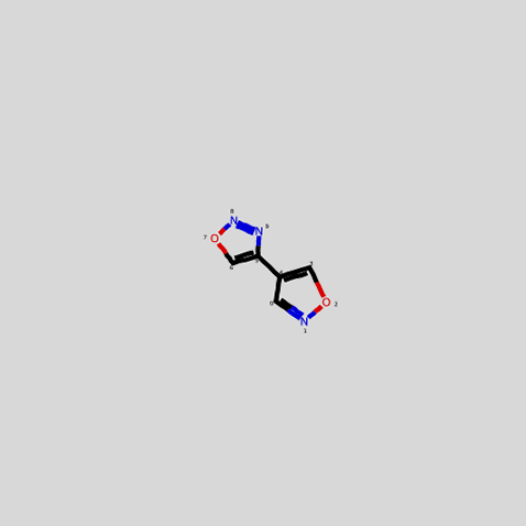 c1nocc1-c1conn1